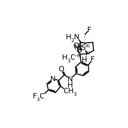 Cc1cc(C(F)(F)F)cnc1C(=O)Nc1ccc(F)c([C@@]2(C)N=C(N)[C@@]3(CF)CC[C@@H]2S3(=O)=O)c1